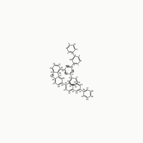 c1ccc(-c2cccc(-c3nc(-c4ccccc4)nc(-c4cccc5oc6ccc(-c7ccc8cc(-c9ccccc9)ccc8c7)cc6c45)n3)c2)cc1